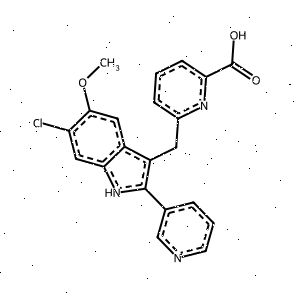 COc1cc2c(Cc3cccc(C(=O)O)n3)c(-c3cccnc3)[nH]c2cc1Cl